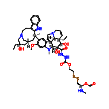 CC[C@]1(O)C[C@H]2CN(CCc3c([nH]c4ccccc34)[C@@](C)(c3cc4c(cc3OC)N(C)[C@H]3[C@@](O)(C(=O)NNC(=O)OCCSSC[C@H](NC)OC=O)[C@H](O)[C@]5(CC)C=CCN6CC[C@]43[C@@H]65)C2)C1